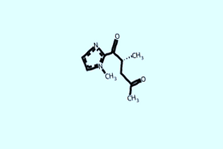 CC(=O)C[C@@H](C)C(=O)c1nccn1C